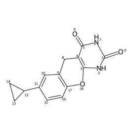 O=c1[nH]c2c(c(=O)[nH]1)Cc1cc(C3CC3)ccc1O2